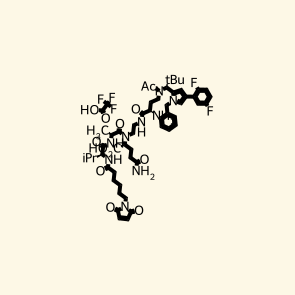 CC(=O)N(CC[C@H](N)C(=O)NCCN(C(=O)[C@H](C)NC(=O)[C@@H](NC(=O)CCCCCN1C(=O)C=CC1=O)C(C)C)[C@@H](CCC(N)=O)C(=O)O)[C@@H](c1cc(-c2cc(F)ccc2F)cn1Cc1ccccc1)C(C)(C)C.O=C(O)C(F)(F)F